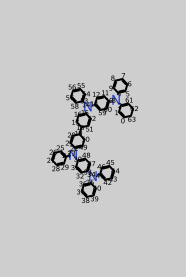 C1=CC(N(c2ccccc2)c2ccc(N(C3=CCC(C4C=CC(N(c5ccccc5)c5ccc(N(c6ccccc6)c6ccccc6)cc5)=CC4)C=C3)c3ccccc3)cc2)=CCC1